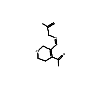 C=C(C)C/N=C\C1=C(C(C)=O)CCNC1